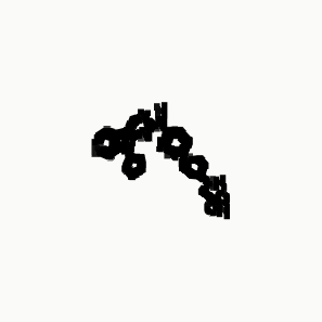 O=C(O)CNC1CCN(c2ccc(Nc3ncc4c5ccncc5n(C5CCCC5)c4n3)nn2)CC1